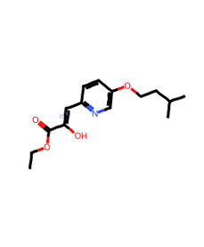 CCOC(=O)/C(O)=C/c1ccc(OCCC(C)C)cn1